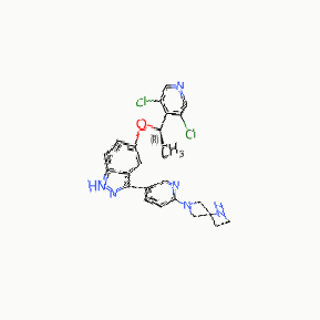 C[C@@H](Oc1ccc2[nH]nc(-c3ccc(N4CC5(CCN5)C4)nc3)c2c1)c1c(Cl)cncc1Cl